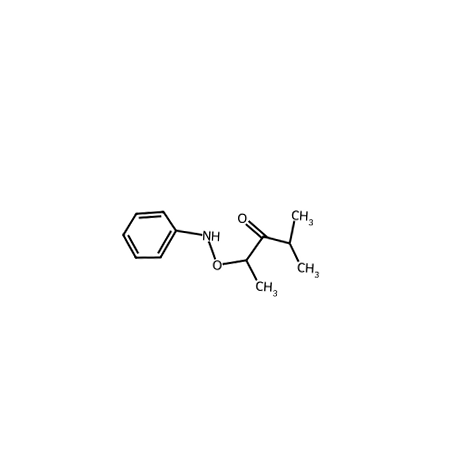 CC(C)C(=O)C(C)ONc1ccccc1